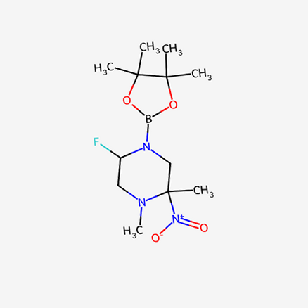 CN1CC(F)N(B2OC(C)(C)C(C)(C)O2)CC1(C)[N+](=O)[O-]